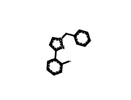 [CH2]c1ccccc1-c1ccn(Cc2ccccc2)n1